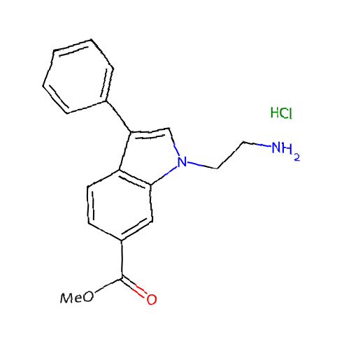 COC(=O)c1ccc2c(-c3ccccc3)cn(CCN)c2c1.Cl